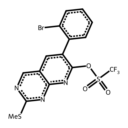 CSc1ncc2cc(-c3ccccc3Br)c(OS(=O)(=O)C(F)(F)F)nc2n1